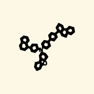 c1ccc2c(-c3ccc(N(c4ccc(-c5ccc(-c6cccc7c6ccc6ccccc67)cc5)cc4)c4ccc5oc6ccccc6c5c4)cc3)cccc2c1